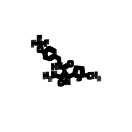 Cc1ccc(-c2noc(N)c2C(=O)NCc2ccc(OC(F)(F)F)cc2)s1